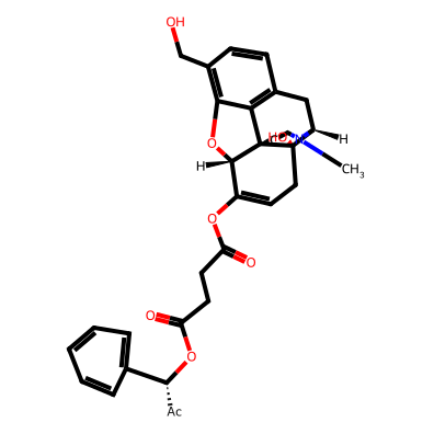 CC(=O)[C@@H](OC(=O)CCC(=O)OC1=CC[C@@]2(O)[C@H]3Cc4ccc(CO)c5c4[C@@]2(CCN3C)[C@H]1O5)c1ccccc1